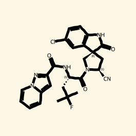 CC(C)(F)C[C@H](NC(=O)c1cc2ccccn2n1)C(=O)N1C[C@]2(C[C@H]1C#N)C(=O)Nc1ccc(Cl)cc12